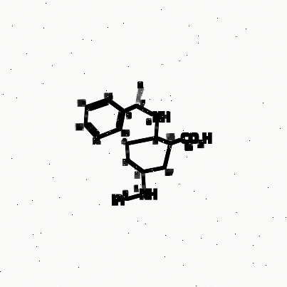 CC(C)NC1CCC(N[C@@H](C)c2ccccc2)C(C(=O)O)C1